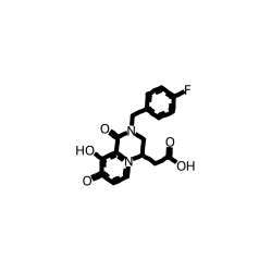 O=C(O)CC1CN(Cc2ccc(F)cc2)C(=O)c2c(O)c(=O)ccn21